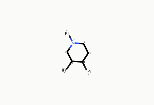 CCN1CCC(C(C)C)C(C(C)C)C1